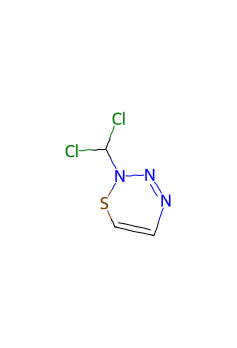 ClC(Cl)N1N=NC=CS1